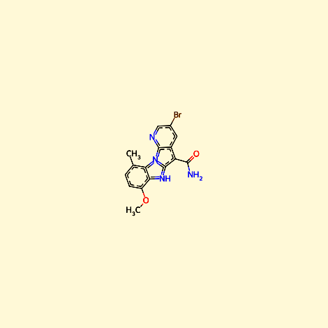 COc1ccc(C)c2c1[nH]c1c(C(N)=O)c3cc(Br)cnc3n12